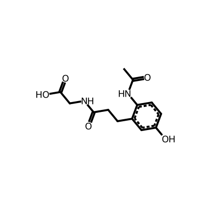 CC(=O)Nc1ccc(O)cc1CCC(=O)NCC(=O)O